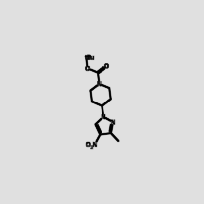 Cc1nn(C2CCN(C(=O)OC(C)(C)C)CC2)cc1[N+](=O)[O-]